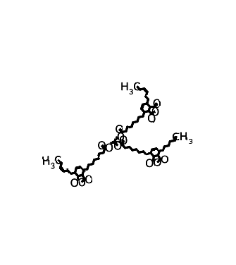 CC/C=C\CCC1C=CC(CCCCCCCC(=O)OCC(COC(=O)CCCCCCCC2C=CC(CC/C=C\CC)C3C(=O)OC(=O)C23)OC(=O)CCCCCCCC2C=CC(CCCCCC)C3C(=O)OC(=O)C23)C2C(=O)OC(=O)C12